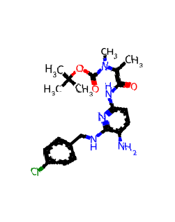 CC(C(=O)Nc1ccc(N)c(NCc2ccc(Cl)cc2)n1)N(C)C(=O)OC(C)(C)C